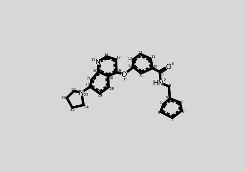 O=C(NCc1ccccc1)c1cccc(Oc2ccnc3cc(N4CCCC4)ccc23)c1